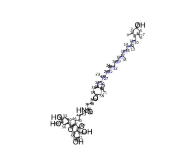 CC1=CC(O)CC(C)(C)C1/C=C/C(C)=C/C=C/C(C)=C/C=C/C=C(C)/C=C/C=C(C)/C=C/C1=CCC(OCCCC(=O)NCCCCc2c(-c3ccc(O)c(O)c3)oc3cc(O)cc(O)c3c2=O)CC1(C)C